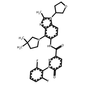 Cc1nc2c(N3CCC(C)(C)C3)c(NC(=O)c3ccc(=O)n(-c4c(F)cccc4F)n3)ccc2n1C1CCOC1